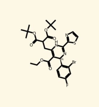 CCOC(=O)C1=C(CC(C(=O)OC(C)(C)C)C(=O)OC(C)(C)C)NC(c2nccs2)=N[C@H]1c1ccc(F)cc1Br